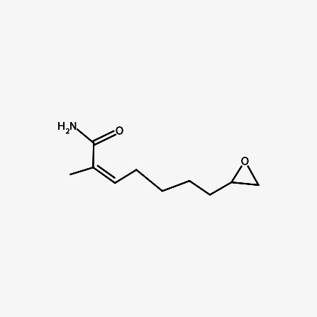 CC(=CCCCCC1CO1)C(N)=O